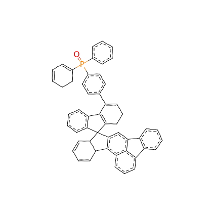 O=P(C1=CC=CCC1)(c1ccccc1)c1ccc(C2=CCCC3=C2c2ccccc2C32c3cc4c5c(cccc5c3C3C=CC=CC32)-c2ccccc2-4)cc1